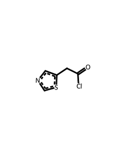 O=C(Cl)Cc1cncs1